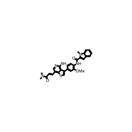 COc1cc(-c2csc3c(/C=C/C(=O)N(C)C)cnc(N)c23)ccc1NC(=O)c1cc2ccccc2n1C